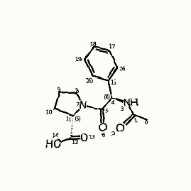 CC(=O)N[C@@H](C(=O)N1CCC[C@H]1C(=O)O)c1ccccc1